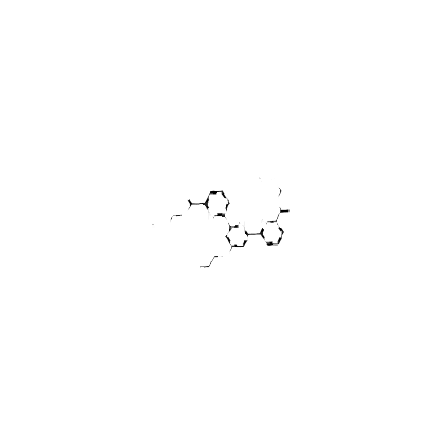 CC(=O)OCOC(=O)c1cccc(-c2cc(OCCO)cc(-c3cccc(C(=O)OCOC(C)=O)n3)n2)n1